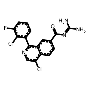 NC(N)=NC(=O)c1ccc2c(Cl)cnc(-c3cccc(F)c3Cl)c2c1